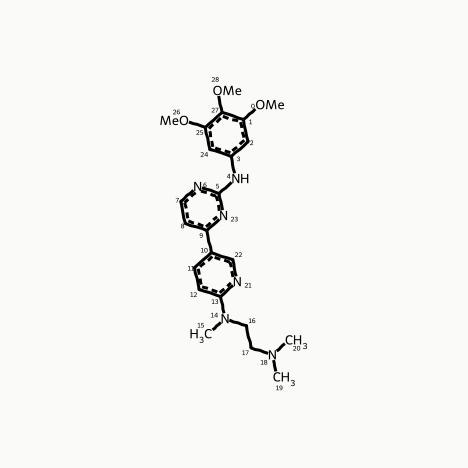 COc1cc(Nc2nccc(-c3ccc(N(C)CCN(C)C)nc3)n2)cc(OC)c1OC